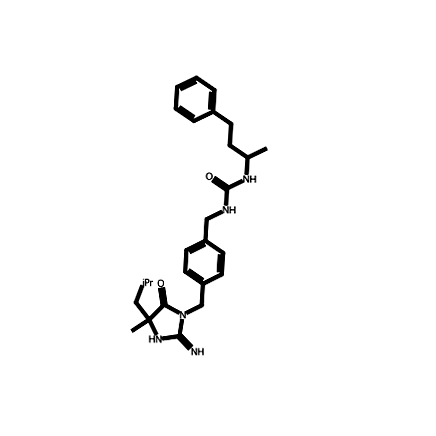 CC(C)CC1(C)NC(=N)N(Cc2ccc(CNC(=O)NC(C)CCc3ccccc3)cc2)C1=O